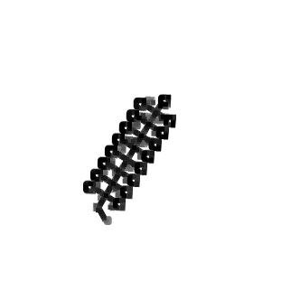 C[CH]C(Cl)(Cl)C(Cl)(Cl)C(Cl)(Cl)C(Cl)(Cl)C(Cl)(Cl)C(Cl)(Cl)C(Cl)(Cl)C(Cl)(Cl)Cl